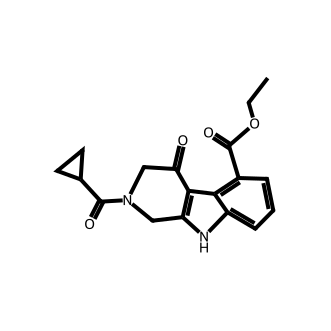 CCOC(=O)c1cccc2[nH]c3c(c12)C(=O)CN(C(=O)C1CC1)C3